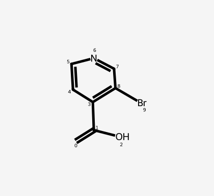 C=C(O)c1ccncc1Br